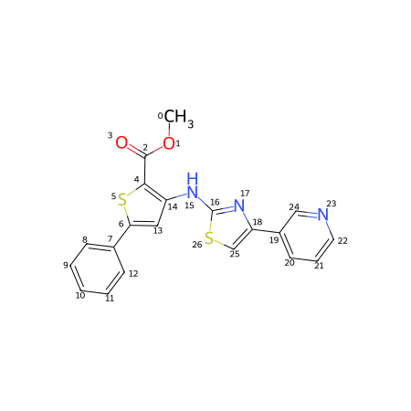 COC(=O)c1sc(-c2ccccc2)cc1Nc1nc(-c2cccnc2)cs1